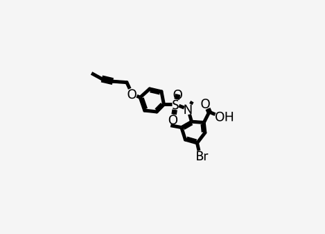 CC#CCOc1ccc(S(=O)(=O)N(C)c2c(C)cc(Br)cc2C(=O)O)cc1